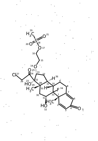 C[C@]12C=CC(=O)C=C1CC[C@H]1[C@@H]3C[C@@H](OCCOS(C)(=O)=O)[C@](O)(C(=O)CCl)[C@@]3(C)C[C@H](O)C12F